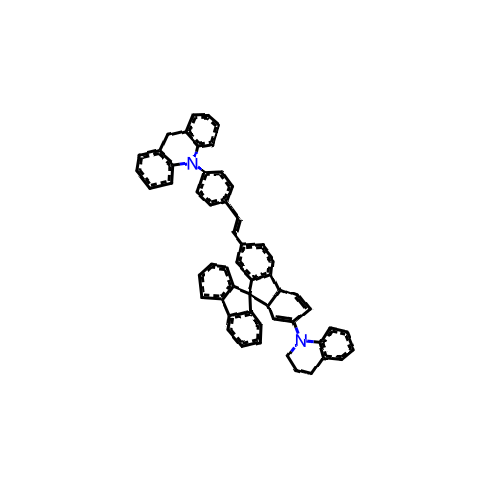 C1=CC2c3ccc(/C=C/c4ccc(N5c6ccccc6Cc6ccccc65)cc4)cc3C3(c4ccccc4-c4ccccc43)C2C=C1N1CCCc2ccccc21